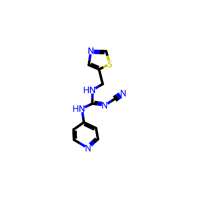 N#CN=C(NCc1cncs1)Nc1ccncc1